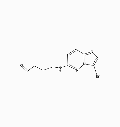 O=CCCCNc1ccc2ncc(Br)n2n1